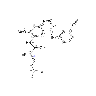 C#Cc1cccc(Nc2ncnc3cc(OC)c(NC(=O)/C(F)=C/CN(C)C)cc23)c1